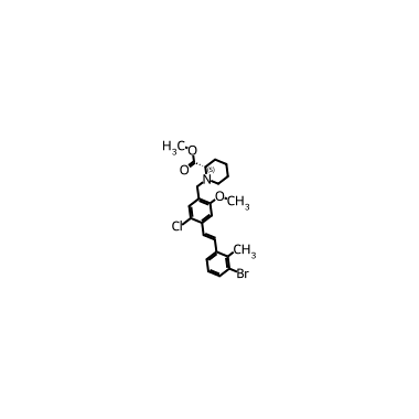 COC(=O)[C@@H]1CCCCN1Cc1cc(Cl)c(C=Cc2cccc(Br)c2C)cc1OC